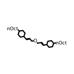 CCCCCCCCC1CCC(C=CCOCC=CC2CCC(CCCCCCCC)CC2)CC1